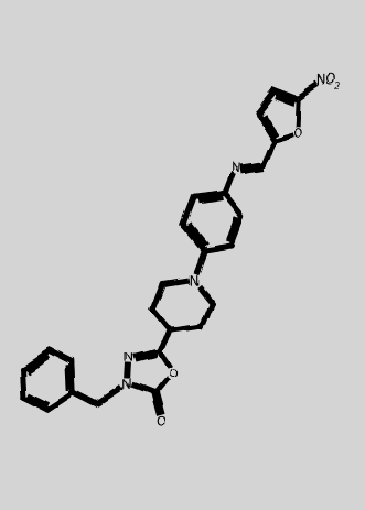 O=c1oc(C2CCN(c3ccc(N=Cc4ccc([N+](=O)[O-])o4)cc3)CC2)nn1Cc1ccccc1